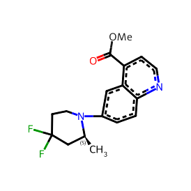 COC(=O)c1ccnc2ccc(N3CCC(F)(F)C[C@@H]3C)cc12